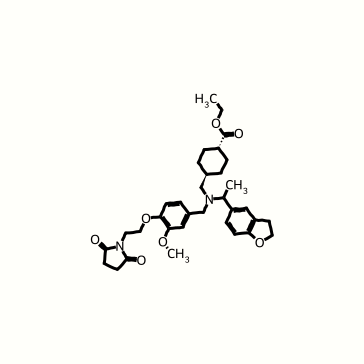 CCOC(=O)[C@H]1CC[C@H](CN(Cc2ccc(OCCN3C(=O)CCC3=O)c(OC)c2)C(C)c2ccc3c(c2)CCO3)CC1